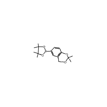 CC1(C)OCc2cc(B3OC(C)(C)C(C)(C)O3)ccc2O1